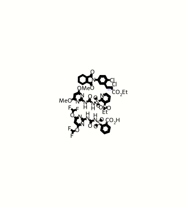 CCOC(=O)/C(Cl)=C/c1cc(N2C(=O)C3=C(CCCC3)C2=O)ccc1Cl.CCS(=O)(=O)c1cccnc1S(=O)(=O)NC(=O)Nc1nc(OC)cc(OC)n1.O=C(Nc1nc(OC(F)F)cc(OC(F)F)n1)NS(=O)(=O)c1ccccc1C(=O)O